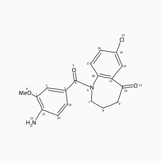 COc1cc(C(=O)N2CCCC(=O)c3cc(Cl)ccc32)ccc1N